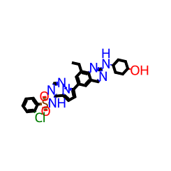 CCc1cc(-c2ccc3c(NS(=O)(=O)c4ccccc4Cl)ncnn23)cc2cnc(N[C@H]3CC[C@H](O)CC3)nc12